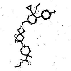 CCOC(=O)C1(C)CCN(C2=NOC3(C2)CN(CC2=CC=C(c4ccc(F)cc4)C(OCC)(C4CC4)C2)C3)CC1